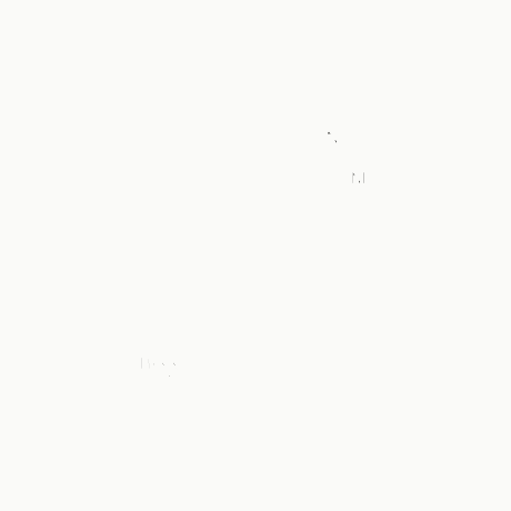 O=C(O)Cc1cccc(-c2cn[nH]c2)c1